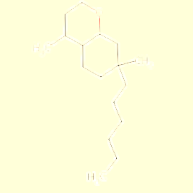 CCCCCCC1(C)CCC2C(C)CCOC2C1